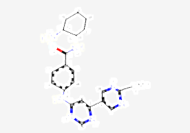 COc1ncc(-c2cc(Nc3ccc(C(=O)N[C@H]4CCCC[C@@H]4N)cc3)ncn2)cn1